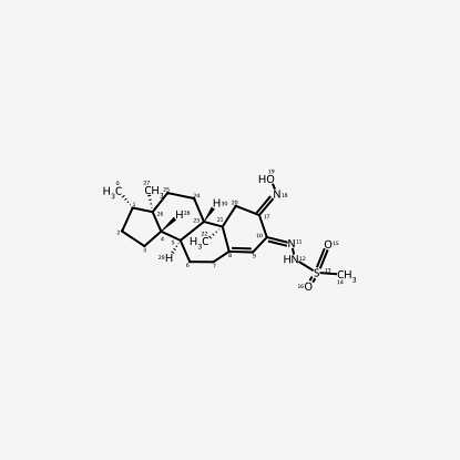 C[C@H]1CC[C@H]2[C@@H]3CCC4=CC(=NNS(C)(=O)=O)C(=NO)C[C@]4(C)[C@H]3CC[C@]12C